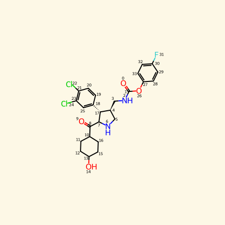 O=C(NC[C@H]1CNC(C(=O)C2CCC(O)CC2)[C@@H]1c1ccc(Cl)c(Cl)c1)Oc1ccc(F)cc1